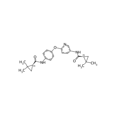 CC1(C)C[C@@H]1C(=O)Nc1ccc(Oc2ccc(NC(=O)[C@H]3CC3(C)C)cn2)cc1